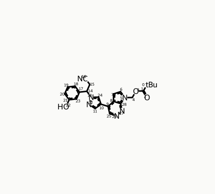 CC(C)(C)C(=O)OCn1ccc2c(-c3cnn(C(CC#N)c4cccc(O)c4)c3)cnnc21